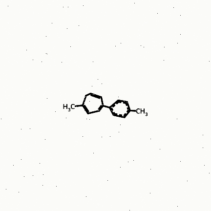 CC1=CC=C(c2ccc(C)cc2)C=CC1